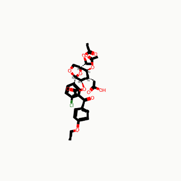 CCOc1ccc(C(=O)c2cc([C@]34OC[C@](C(C)OC(C)=O)(O3)[C@@H](OC(C)=O)[C@H](CC(=O)O)[C@H]4OC(C)=O)ccc2Cl)cc1